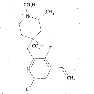 C=Cc1cc(Cl)nc(CC2(C(=O)O)CCN(C(=O)O)C(C)C2)c1F